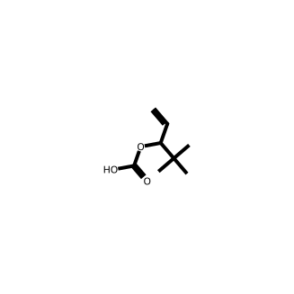 C=CC(OC(=O)O)C(C)(C)C